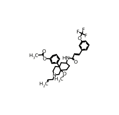 C=CCN1CCC2(c3cccc(OC(C)=O)c3)CC(NC(=O)/C=C/c3cccc(OC(F)(F)F)c3)CCC2(OC)C1